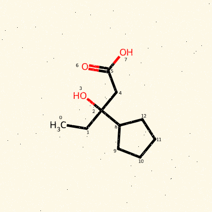 CCC(O)(CC(=O)O)C1CCCC1